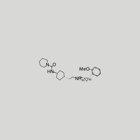 COc1ccccc1[C@@H]1C[C@H]1CNCC[C@H]1CC[C@H](NC(=O)N2CCCCC2)CC1